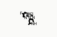 CC1Cc2c(nnn2-c2ncc(F)cn2)CN1.Cl